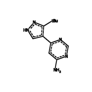 CC(C)(C)c1n[nH]cc1-c1cc(N)ncn1